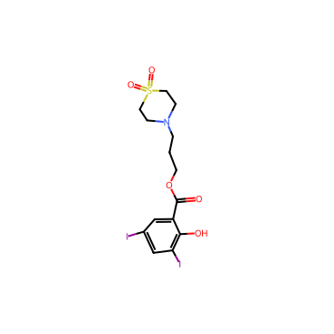 O=C(OCCCN1CCS(=O)(=O)CC1)c1cc(I)cc(I)c1O